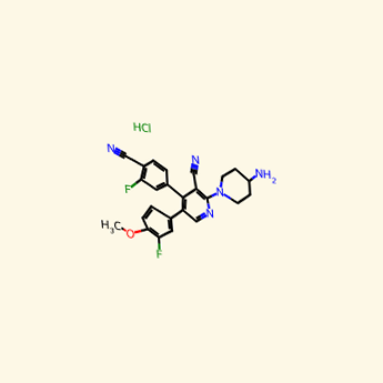 COc1ccc(-c2cnc(N3CCC(N)CC3)c(C#N)c2-c2ccc(C#N)c(F)c2)cc1F.Cl